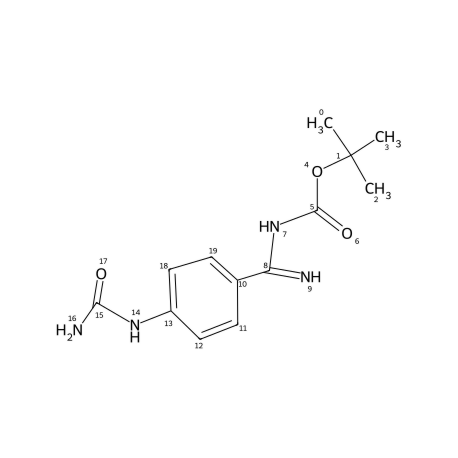 CC(C)(C)OC(=O)NC(=N)c1ccc(NC(N)=O)cc1